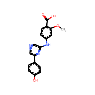 COc1cc(Nc2cncc(-c3ccc(O)cc3)n2)ccc1C(=O)O